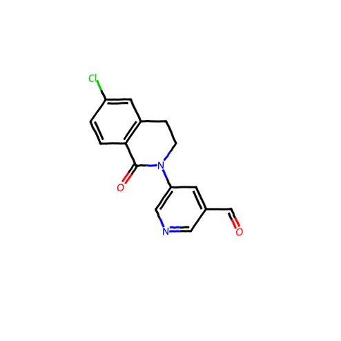 O=Cc1cncc(N2CCc3cc(Cl)ccc3C2=O)c1